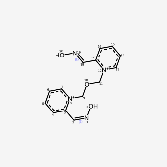 O/N=C\c1cccc[n+]1COC[n+]1ccccc1/C=N/O